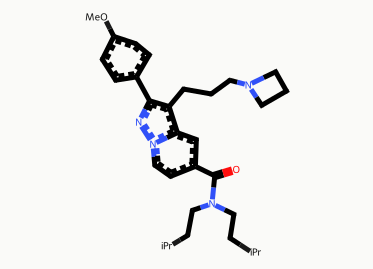 COc1ccc(-c2nn3ccc(C(=O)N(CCC(C)C)CCC(C)C)cc3c2CCCN2CCC2)cc1